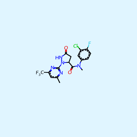 Cc1cc(C(F)(F)F)nc(N2NC(=O)CC2C(=O)N(C)c2ccc(F)c(Cl)c2)n1